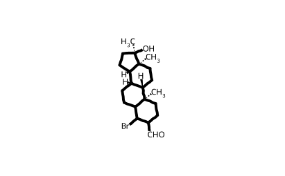 C[C@]12CCC(C=O)C(Br)C1CC[C@@H]1[C@@H]2CC[C@@]2(C)[C@H]1CC[C@@]2(C)O